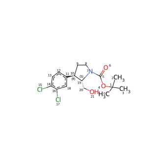 CC(C)(C)OC(=O)N1CC[C@H](c2ccc(Cl)c(Cl)c2)[C@H]1CO